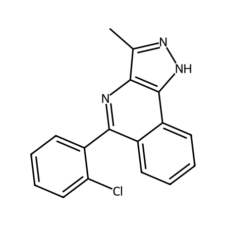 Cc1n[nH]c2c1nc(-c1ccccc1Cl)c1ccccc12